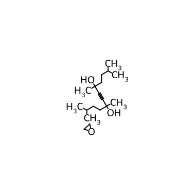 C1CO1.CC(C)CCC(C)(O)C#CC(C)(O)CCC(C)C